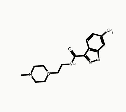 CN1CCN(CCNC(=O)c2nsc3cc(C(F)(F)F)ccc23)CC1